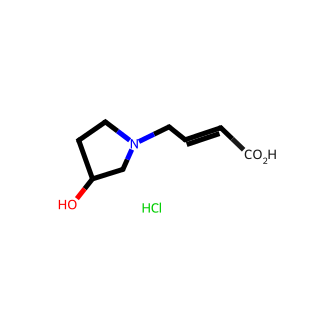 Cl.O=C(O)C=CCN1CCC(O)C1